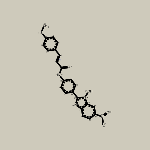 CSc1ccc(/C=C/C(=O)Nc2ccc(-c3nc4ccc([N+](=O)[O-])cc4n3O)cc2)cc1